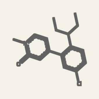 CCC(CC)c1ccc(Cl)cc1-c1ccn(C)c(=O)c1